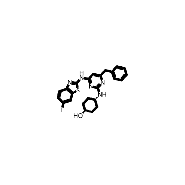 O[C@H]1CC[C@H](Nc2nc(Cc3ccccc3)cc(Nc3nc4ccc(I)cc4s3)n2)CC1